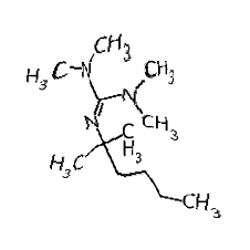 CCCCC(C)(C)N=C(N(C)C)N(C)C